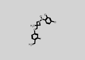 CC1(COc2ccc(CN)c(F)c2)CN([S+]([O-])c2ccc(Cl)cc2Cl)C1